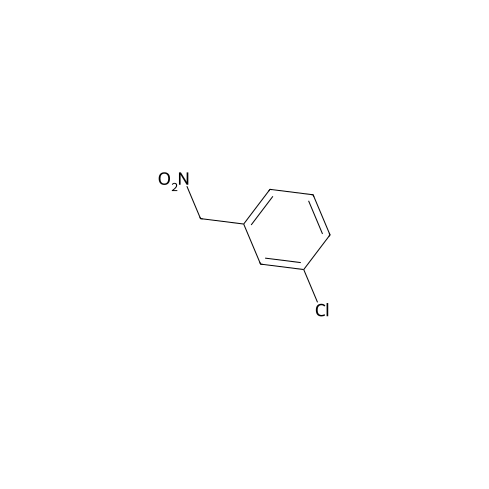 O=[N+]([O-])Cc1cccc(Cl)c1